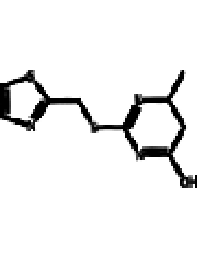 CC1CC(O)=NC(SCc2nccs2)=N1